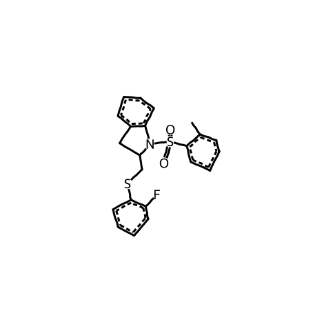 Cc1ccccc1S(=O)(=O)N1c2ccccc2CC1CSc1ccccc1F